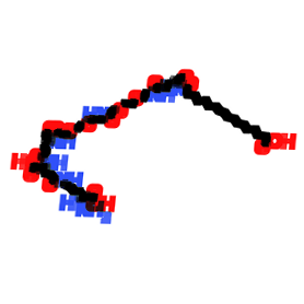 NN[C@@H](CCCCNC(=O)CC[C@H](NC(=O)CC[C@@H](C=O)NC(=O)COCCOCCNC(=O)COCCOCCNC(=O)CC[C@@H](C=O)NC(=O)CCCCCCCCCCCCCCCCC(=O)O)C(=O)O)C(=O)O